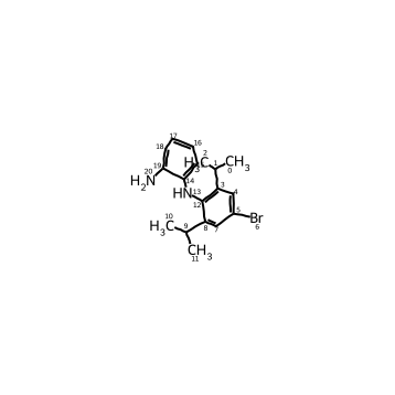 CC(C)c1cc(Br)cc(C(C)C)c1Nc1ccccc1N